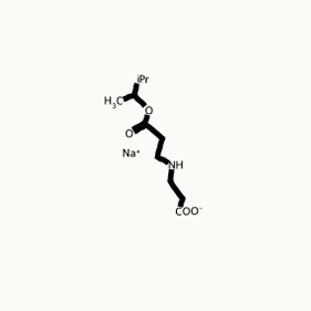 CC(C)C(C)OC(=O)CCNCCC(=O)[O-].[Na+]